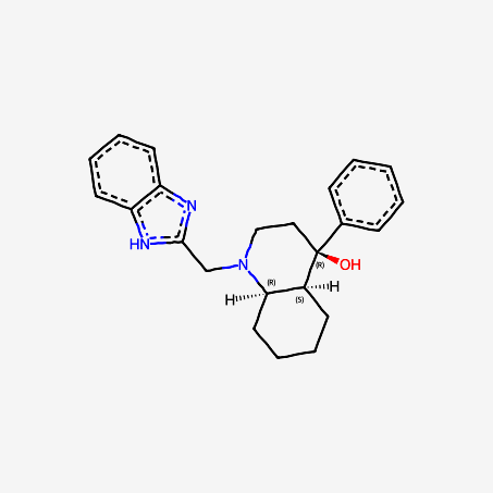 O[C@]1(c2ccccc2)CCN(Cc2nc3ccccc3[nH]2)[C@@H]2CCCC[C@@H]21